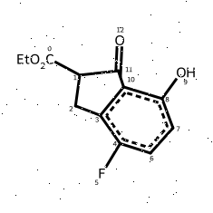 CCOC(=O)C1Cc2c(F)ccc(O)c2C1=O